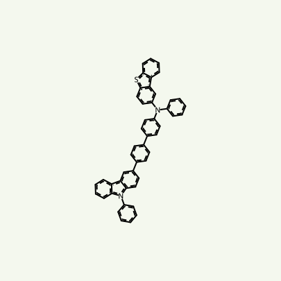 c1ccc(N(c2ccc(-c3ccc(-c4ccc5c(c4)c4ccccc4n5-c4ccccc4)cc3)cc2)c2ccc3sc4ccccc4c3c2)cc1